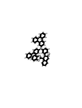 C1=c2ccccc2=C(c2nc3ccccc3o2)C2c3cc(N(c4ccc(-c5ccccc5)cc4)c4ccc5c6ccccc6c6ccccc6c5c4)ccc3OC12